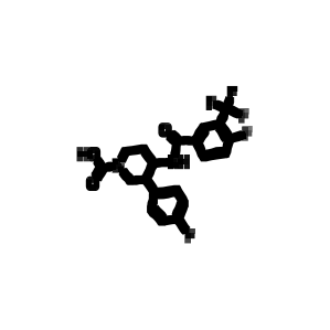 O=C(NC1CCN(C(=O)O)CC1c1ccc(F)cc1)c1ccc(F)c(C(F)(F)F)c1